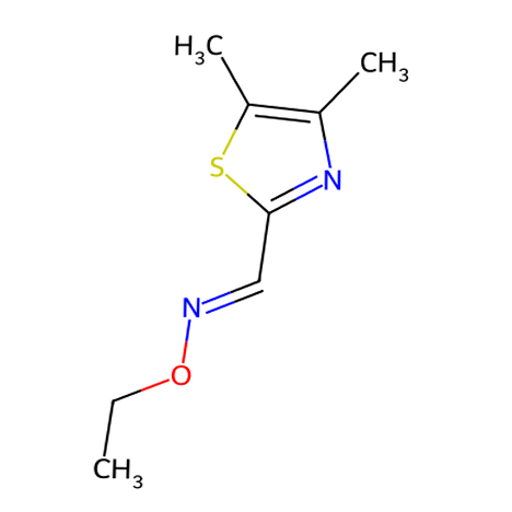 CCON=Cc1nc(C)c(C)s1